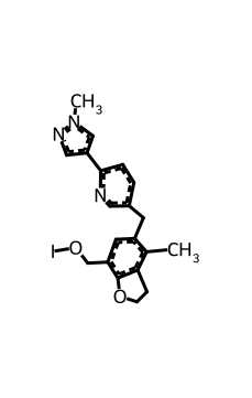 Cc1c(Cc2ccc(-c3cnn(C)c3)nc2)cc(COI)c2c1CCO2